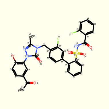 CCCCC(=O)c1ccc(Br)c(-n2nc(CCCC)n(Cc3ccc(-c4ccccc4S(=O)(=O)NC(=O)c4ccccc4F)cc3F)c2=O)c1